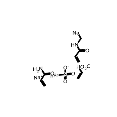 C=CC(=O)N[CH2][Na].C=CC(=O)O.C=CC(N)=O.CCCS(=O)(=O)[O-].[Na+]